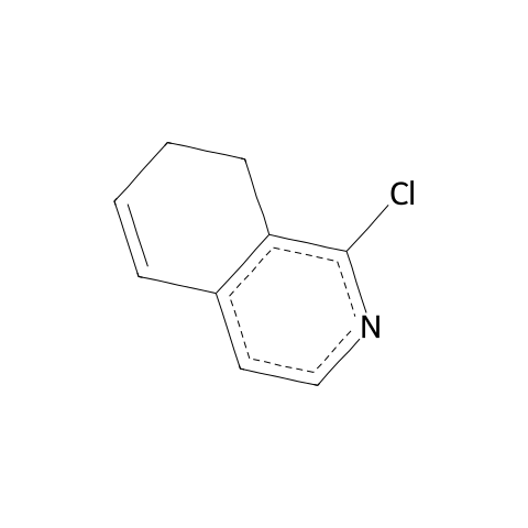 Clc1nccc2c1CCC=C2